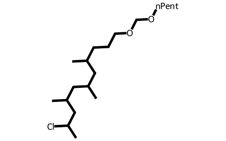 CCCCCOCOCCCC(C)CC(C)CC(C)CC(C)Cl